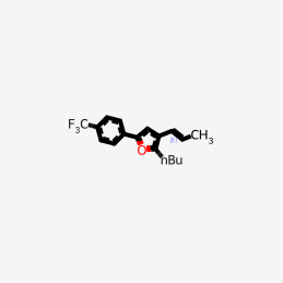 C/C=C/c1cc(-c2ccc(C(F)(F)F)cc2)oc1CCCC